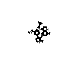 COC(=O)c1cc(-c2ccnc(F)c2F)cc2c1nc(C1CC1)n2-c1ccnc2c(F)ccc(F)c12